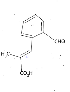 C/C(=C\c1ccccc1C=O)C(=O)O